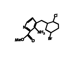 COC(=O)c1nccc(CC2CC(Br)CCC2Cl)c1N